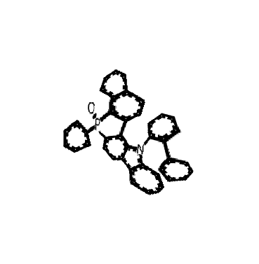 O=P1(c2ccccc2)c2ccc3c4ccccc4n(-c4ccccc4-c4ccccc4)c3c2-c2ccc3ccccc3c21